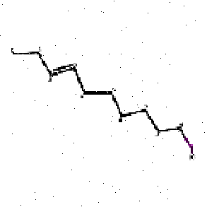 CCC=CCCCCCCI